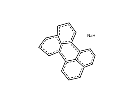 [NaH].c1cc2cccc3c4cccc5cccc(c(c1)c23)c54